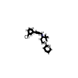 CC1(C)CN(c2ccccn2)CC/C1=C\C#Cc1cccc(Cl)c1